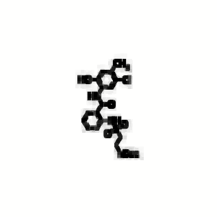 CCCCCCCCCCCCS(=O)(=O)Nc1ccccc1C(=O)Nc1cc(Cl)c(C)cc1O